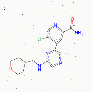 Cc1ncc(NCC2CCOCC2)nc1-c1cc(C(N)=O)ncc1Cl